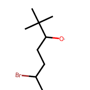 CC(Br)CCC([O])C(C)(C)C